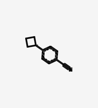 N#Cc1ccc([C]2CCC2)cc1